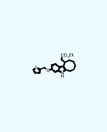 CCOC(=O)CC1CCCCCc2[nH]c3cc(OCc4cccs4)ccc3c21